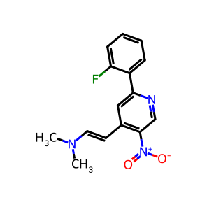 CN(C)C=Cc1cc(-c2ccccc2F)ncc1[N+](=O)[O-]